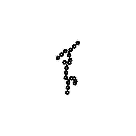 c1ccc(-c2ccc(-c3ccc(N(c4ccc(-c5ccc6ccc7c(c6c5)-c5ccccc5[SH]7c5ccc(-c6ccc(-c7cccc(N(c8ccc(-c9ccc(-c%10ccccc%10)cc9)cc8)c8ccc9ccc%10sc%11ccccc%11c%10c9c8)c7)cc6)cc5)cc4)c4cccc(-c5ccc(-c6ccccc6)cc5)c4)cc3)cc2)cc1